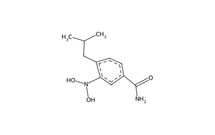 CC(C)Cc1ccc(C(N)=O)cc1N(O)O